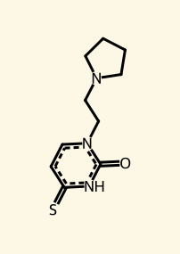 O=c1[nH]c(=S)ccn1CCN1CCCC1